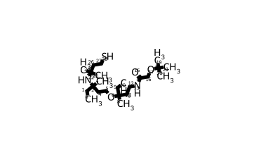 CCC(C)(CCOC(C)(CC)CCNC(=O)COC(C)(C)C)NC(C)(C)CCS